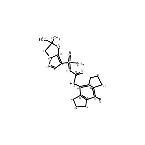 CC1(C)Cn2ncc(S(N)(=O)=NC(=O)Nc3c4c(c(F)c5c3CCC5)CCC4)c2O1